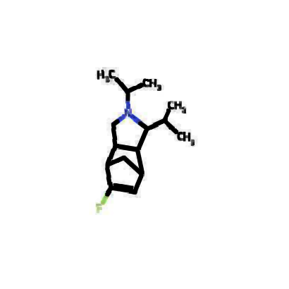 CC(C)C1C2C3C=C(F)C(C3)C2CN1C(C)C